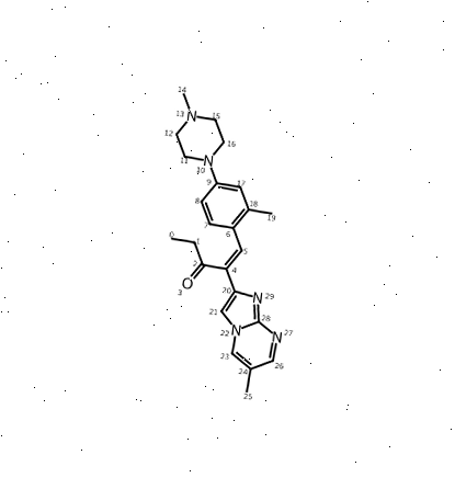 CCC(=O)/C(=C\c1ccc(N2CCN(C)CC2)cc1C)c1cn2cc(C)cnc2n1